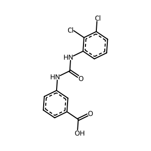 O=C(Nc1cccc(C(=O)O)c1)Nc1cccc(Cl)c1Cl